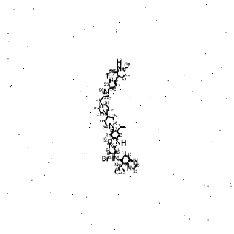 CCc1cc(Nc2ncc(Br)c(Nc3ccc4nccnc4c3P(C)(C)=O)n2)c(OC)cc1N1CCC(N2CCN(CC3CN(c4ccc(C5CCC(=O)NC5=O)c(F)c4)C3)CC2)CC1